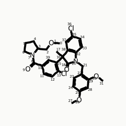 COCC1CCCN1C(=O)c1ccc(Cl)c(C2(C)C(=O)N(Cc3ccc(OC)cc3OC)c3ccc(Cl)cc32)c1